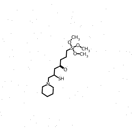 CO[Si](CCCC(=O)CC(S)CN1CCCCC1)(OC)OC